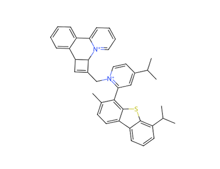 Cc1ccc2c(sc3c(C(C)C)cccc32)c1-c1cc(C(C)C)cc[n+]1CC1=CC2c3ccccc3-c3cccc[n+]3C12